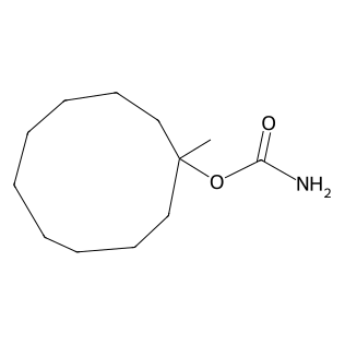 CC1(OC(N)=O)CCCCCCCCC1